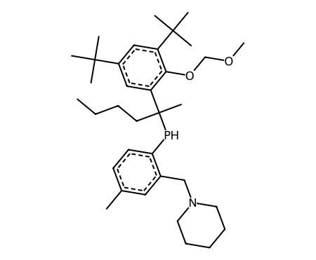 CCCCC(C)(Pc1ccc(C)cc1CN1CCCCC1)c1cc(C(C)(C)C)cc(C(C)(C)C)c1OCOC